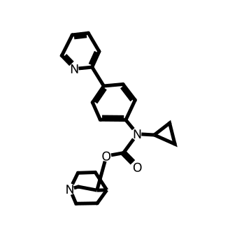 O=C(OC1CN2CCC1CC2)N(c1ccc(-c2ccccn2)cc1)C1CC1